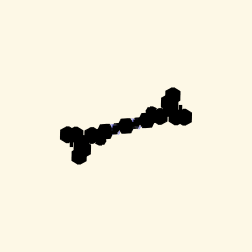 CC1(C)c2cc(/C=C/c3ccc(/C=C/c4ccc5c(c4)C(C)(C)c4cc(N(c6ccc7ccccc7n6)c6ccc7ccccc7n6)ccc4-5)cc3)ccc2-c2ccc(N(c3ccc4ccccc4n3)c3ccc4ccccc4n3)cc21